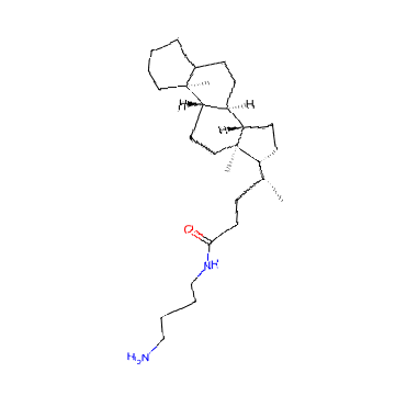 C[C@H](CCC(=O)NCCCCN)[C@H]1CC[C@H]2[C@@H]3CCC4CCCC[C@]4(C)[C@H]3CC[C@]12C